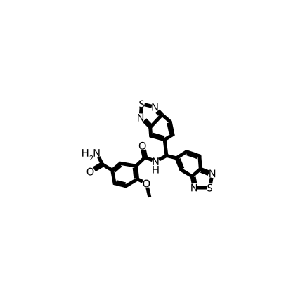 COc1ccc(C(N)=O)cc1C(=O)NC(c1ccc2nsnc2c1)c1ccc2nsnc2c1